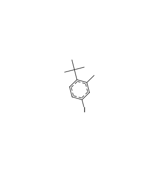 Cc1cc(I)ccc1C(C)(C)C